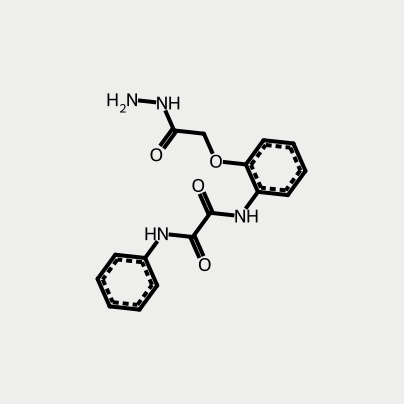 NNC(=O)COc1ccccc1NC(=O)C(=O)Nc1ccccc1